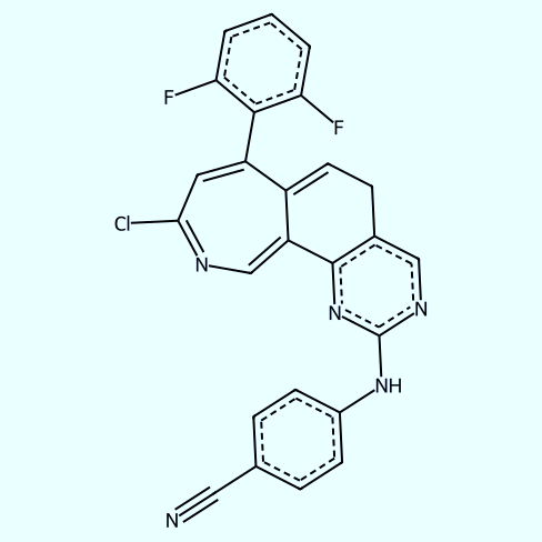 N#Cc1ccc(Nc2ncc3c(n2)C2=CN=C(Cl)C=C(c4c(F)cccc4F)C2=CC3)cc1